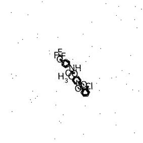 CC1(OC(=O)Nc2ccc(OC(F)(F)F)cc2)CCN(S(=O)(=O)c2ccccc2Cl)CC1